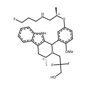 COc1ccc(O[C@H](C)CNCCCF)cc1C1c2[nH]c3ccccc3c2C[C@@H](C)N1CC(F)(F)CO